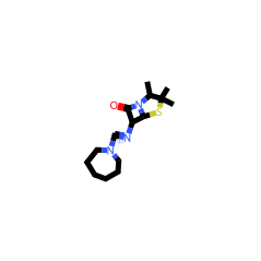 CC1N2C(=O)C(/N=C/N3CCCCCC3)C2SC1(C)C